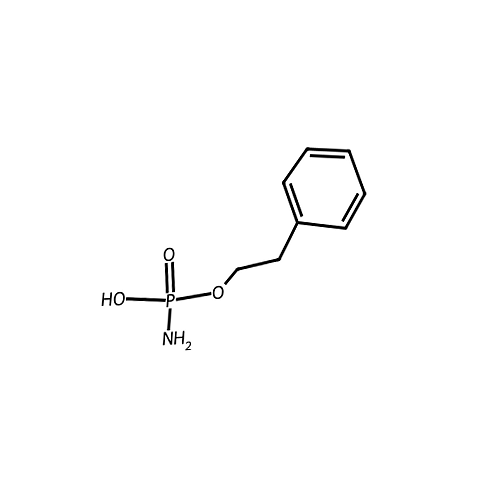 NP(=O)(O)OCCc1ccccc1